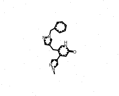 Cn1cc(-c2cc(=O)[nH]cc2Cc2cnn(Cc3ccccc3)c2)cn1